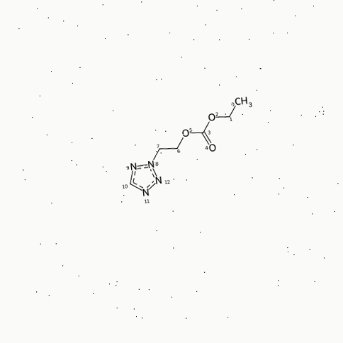 CCOC(=O)OCCn1ncnn1